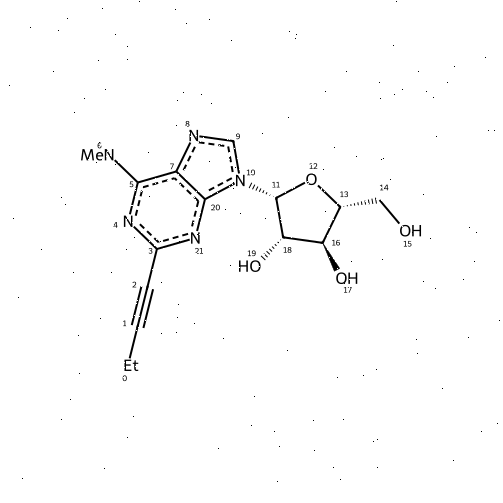 CCC#Cc1nc(NC)c2ncn([C@@H]3O[C@H](CO)[C@@H](O)[C@@H]3O)c2n1